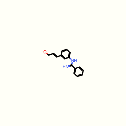 N=C(Nc1cccc(C=CC[O])c1)c1ccccc1